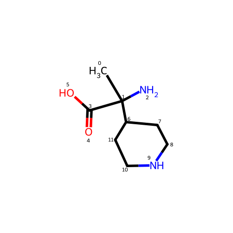 CC(N)(C(=O)O)C1CCNCC1